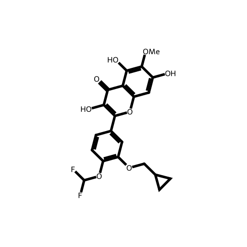 COc1c(O)cc2oc(-c3ccc(OC(F)F)c(OCC4CC4)c3)c(O)c(=O)c2c1O